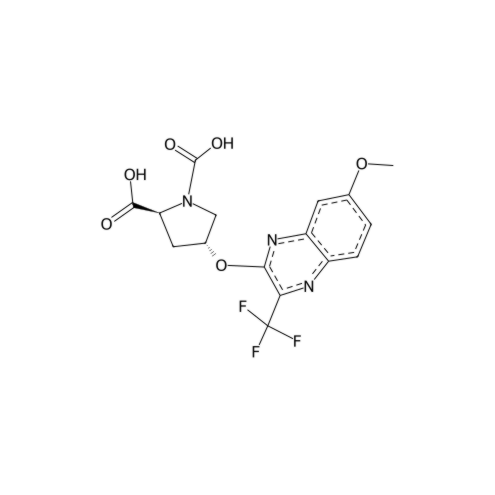 COc1ccc2nc(C(F)(F)F)c(O[C@@H]3C[C@@H](C(=O)O)N(C(=O)O)C3)nc2c1